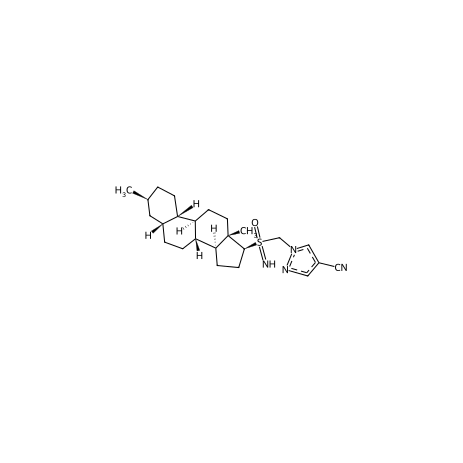 C[C@H]1CC[C@H]2[C@H](CC[C@@H]3[C@@H]2CC[C@@]2(C)[C@H]3CC[C@@H]2S(=N)(=O)Cn2cc(C#N)cn2)C1